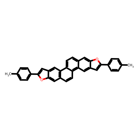 Cc1ccc(-c2cc3cc4c(ccc5c6cc7cc(-c8ccc(C)cc8)oc7cc6ccc45)cc3o2)cc1